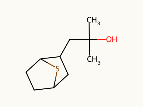 CC(C)(O)CC1CC2CCC1S2